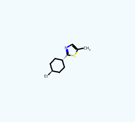 CC[C@H]1CC[C@H](c2ncc(C)s2)CC1